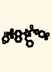 O=C(c1nc(CC2CCCCC2)c(-c2ccc(S(=O)(=O)NC3CCOCC3)c3ccccc23)s1)N1CC2(CCS(=O)(=O)CC2)C1